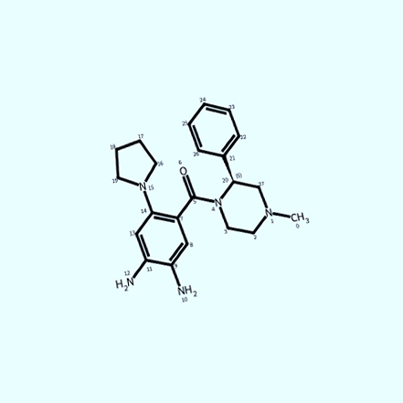 CN1CCN(C(=O)c2cc(N)c(N)cc2N2CCCC2)[C@@H](c2ccccc2)C1